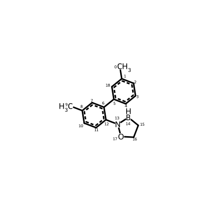 Cc1cccc(-c2cc(C)ccc2N2BCCO2)c1